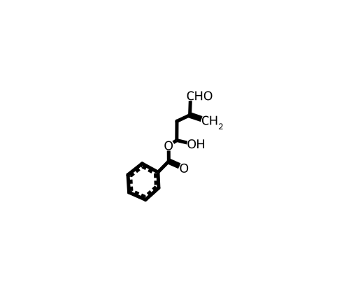 C=C(C=O)CC(O)OC(=O)c1ccccc1